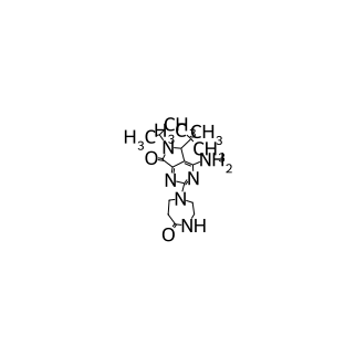 CC(C)N1C(=O)c2nc(N3CCNC(=O)CC3)nc(N)c2C1C(C)(C)C